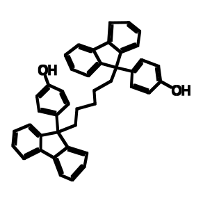 Oc1ccc(C2(CCCCCC3(c4ccc(O)cc4)c4ccccc4-c4ccccc43)c3ccccc3-c3ccccc32)cc1